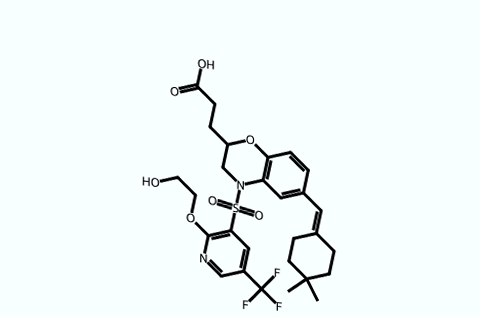 CC1(C)CCC(=Cc2ccc3c(c2)N(S(=O)(=O)c2cc(C(F)(F)F)cnc2OCCO)CC(CCC(=O)O)O3)CC1